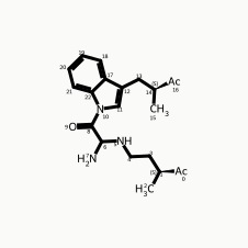 CC(=O)[C@@H](C)CCNC(N)C(=O)n1cc(C[C@H](C)C(C)=O)c2ccccc21